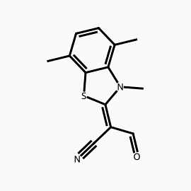 Cc1ccc(C)c2c1S/C(=C(\C#N)C=O)N2C